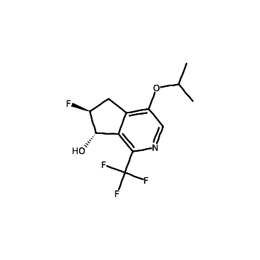 CC(C)Oc1cnc(C(F)(F)F)c2c1C[C@H](F)[C@H]2O